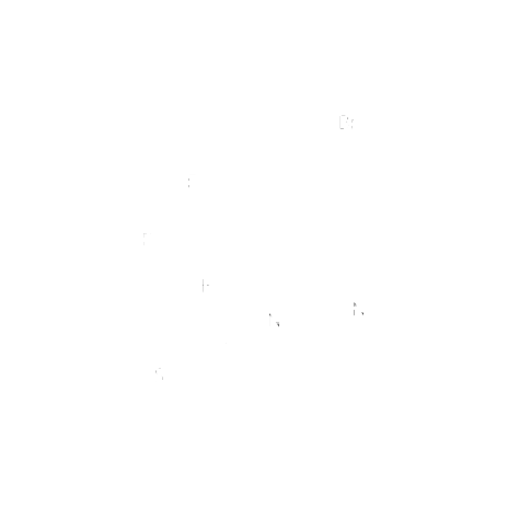 FC(F)(F)c1cc(Br)cc2ncn(C3CSC3)c12